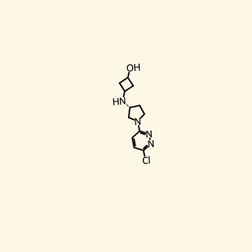 OC1CC(N[C@@H]2CCN(c3ccc(Cl)nn3)C2)C1